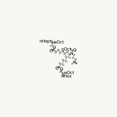 CCCCCCCCC(=O)N(CCCN(C)C)C(CCCCCCC(=O)OCC(CCCCCC)CCCCCCCC)CCCCCCC(=O)OCC(CCCCCCC)CCCCCCCC